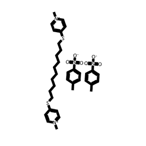 C[n+]1ccc(SCCCCCCCCCCSc2cc[n+](C)cc2)cc1.Cc1ccc(S(=O)(=O)[O-])cc1.Cc1ccc(S(=O)(=O)[O-])cc1